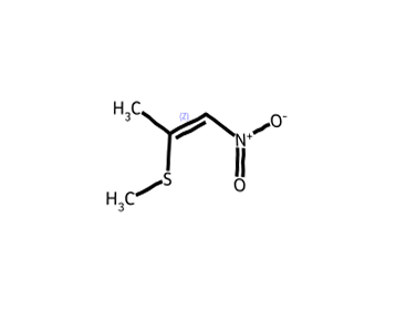 CS/C(C)=C\[N+](=O)[O-]